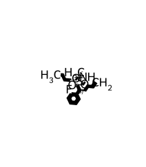 C=CCC[C@@H](c1ccccc1F)C(OCCCC)S(=O)(=O)NC